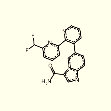 NC(=O)c1cnc2ccc(-c3cccnc3-c3cccc(C(F)F)n3)cn12